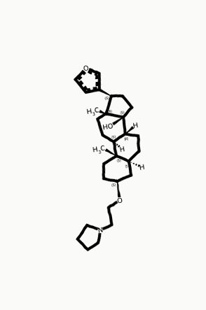 C[C@]12CC[C@H](OCCN3CCCC3)C[C@@H]1CC[C@@H]1[C@@H]2CC[C@]2(C)[C@@H](c3ccoc3)CC[C@]12O